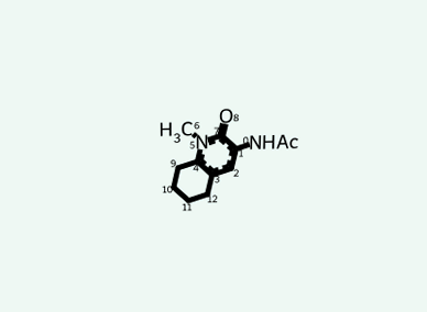 CC(=O)Nc1cc2c(n(C)c1=O)CCCC2